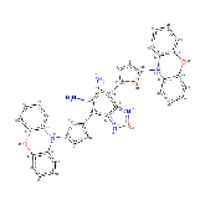 Nc1c(N)c(-c2ccc(N3c4ccccc4Oc4ccccc43)s2)c2nsnc2c1-c1ccc(N2c3ccccc3Oc3ccccc32)s1